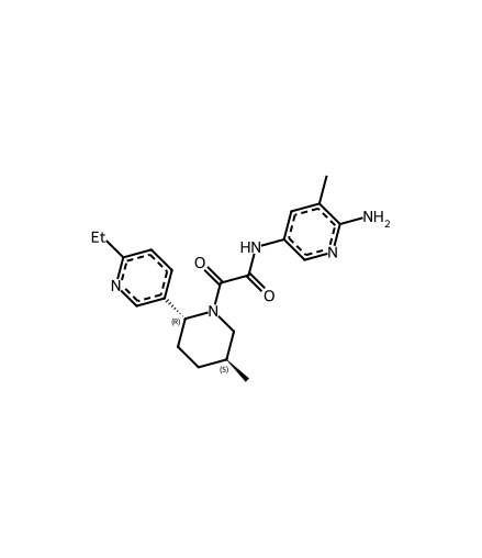 CCc1ccc([C@H]2CC[C@H](C)CN2C(=O)C(=O)Nc2cnc(N)c(C)c2)cn1